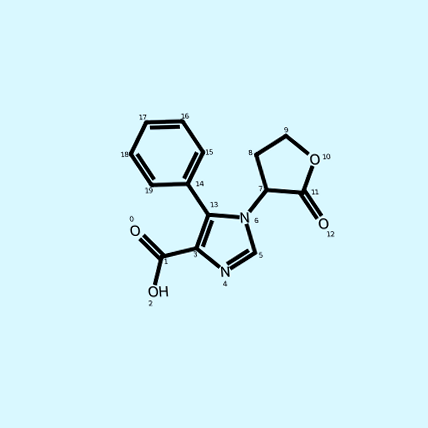 O=C(O)c1ncn(C2CCOC2=O)c1-c1ccccc1